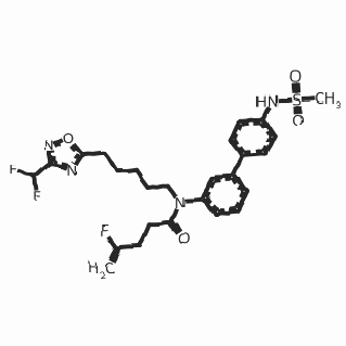 C=C(F)CCC(=O)N(CCCCCc1nc(C(F)F)no1)c1cccc(-c2ccc(NS(C)(=O)=O)cc2)c1